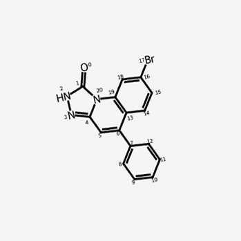 O=c1[nH]nc2cc(-c3ccccc3)c3ccc(Br)cc3n12